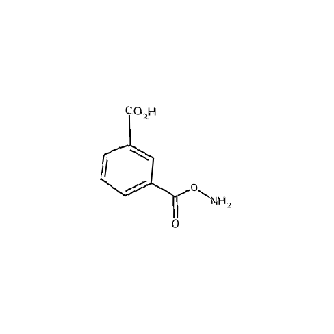 NOC(=O)c1cccc(C(=O)O)c1